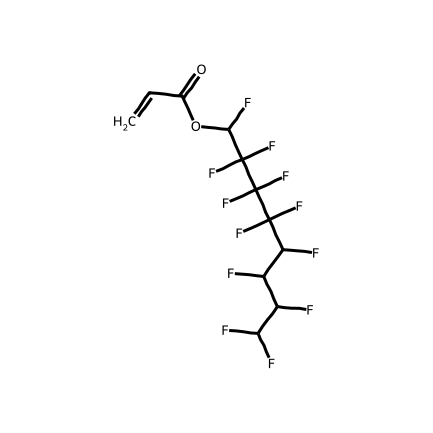 C=CC(=O)OC(F)C(F)(F)C(F)(F)C(F)(F)C(F)C(F)C(F)C(F)F